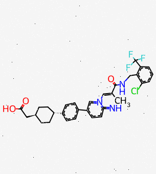 C/C(=C\n1cc(-c2ccc([C@H]3CC[C@H](CC(=O)O)CC3)cc2)ccc1=N)C(=O)NCc1c(Cl)cccc1C(F)(F)F